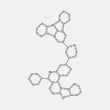 c1ccc(-c2nc3cc(-c4cccc(-c5cc6c7ccccc7n7c8ccccc8c(c5)c67)c4)ccc3c3c2ccc2oc4ccccc4c23)cc1